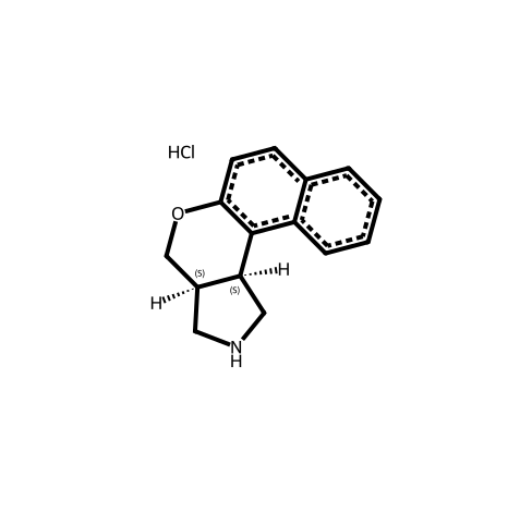 Cl.c1ccc2c3c(ccc2c1)OC[C@@H]1CNC[C@H]31